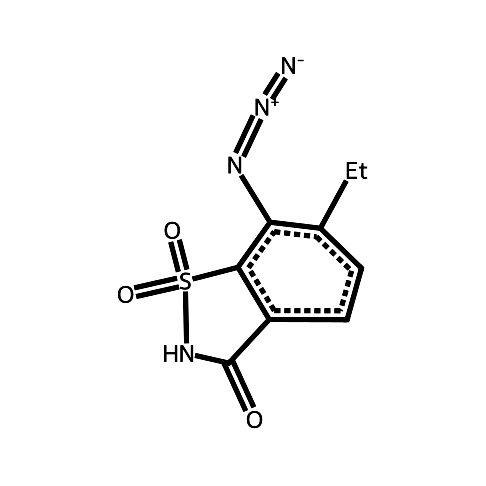 CCc1ccc2c(c1N=[N+]=[N-])S(=O)(=O)NC2=O